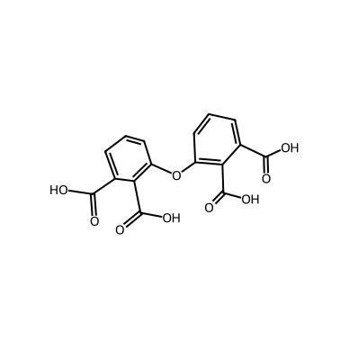 O=C(O)c1cccc(Oc2cccc(C(=O)O)c2C(=O)O)c1C(=O)O